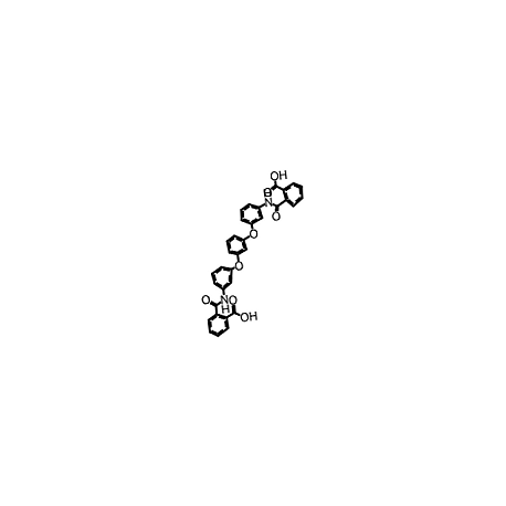 O=C(O)c1ccccc1C(=O)Nc1cccc(Oc2cccc(Oc3cccc(NC(=O)c4ccccc4C(=O)O)c3)c2)c1